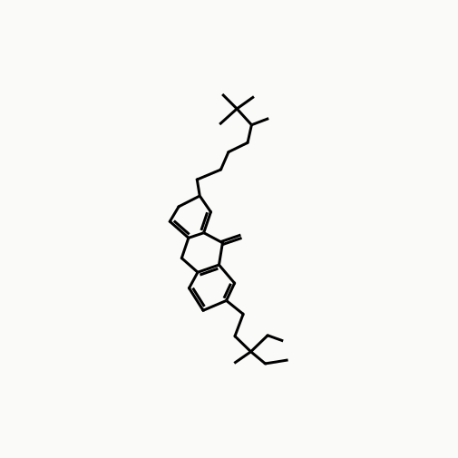 C=C1C2=CC(CCCCC(C)C(C)(C)C)CC=C2Cc2ccc(CCC(C)(CC)CC)cc21